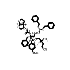 COc1ccc(S(=O)(=O)[C@](Cc2ccccc2)(NC(=O)O[C@H]2CO[C@H]3OCC[C@H]32)[C@@H](CCC(C)(C)CCC#N)NOP(OCc2ccccc2)OCc2ccccc2)cc1